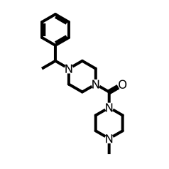 CC(c1ccccc1)N1CCN(C(=O)N2CCN(C)CC2)CC1